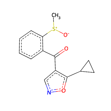 C[S+]([O-])c1ccccc1C(=O)c1cnoc1C1CC1